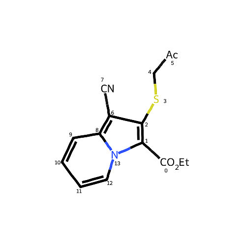 CCOC(=O)c1c(SCC(C)=O)c(C#N)c2ccccn12